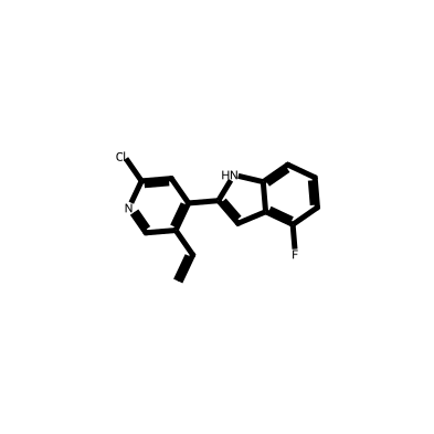 C=Cc1cnc(Cl)cc1-c1cc2c(F)cccc2[nH]1